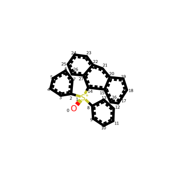 O=[S+](c1ccccc1)(c1ccccc1)c1c2ccccc2cc2ccccc12